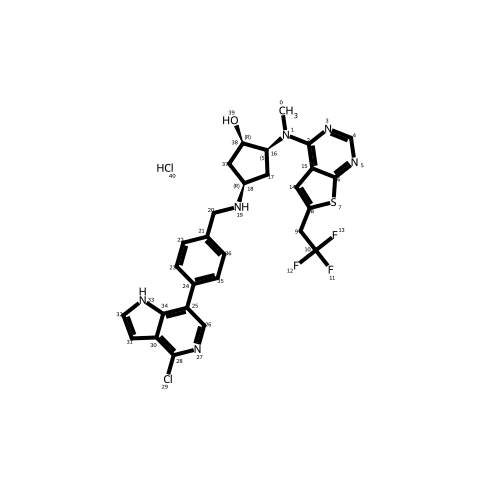 CN(c1ncnc2sc(CC(F)(F)F)cc12)[C@H]1C[C@@H](NCc2ccc(-c3cnc(Cl)c4cc[nH]c34)cc2)C[C@H]1O.Cl